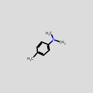 Cc1[c]cc(N(C)C)cc1